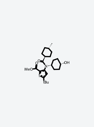 COC(=O)c1sc(C(C)(C)C)cc1N(C(=O)[C@H]1CC[C@H](C)CC1)[C@H]1CC[C@@H](O)CC1